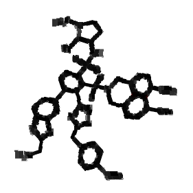 COc1ccc(CN(Cc2ccc(OC)cc2)S(=O)(=O)c2c(S(=O)(=O)NC3CCN(C(=O)O)C3C(C)(C)C)ccc(-c3ccc4sc(CN)nc4c3)c2-c2nnn(Cc3ccc(OC)cc3)n2)cc1